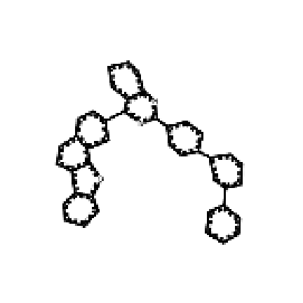 c1ccc(-c2cccc(-c3ccc(-c4nc(-c5ccc6ccc7c8ccccc8oc7c6c5)c5ccccc5n4)cc3)c2)cc1